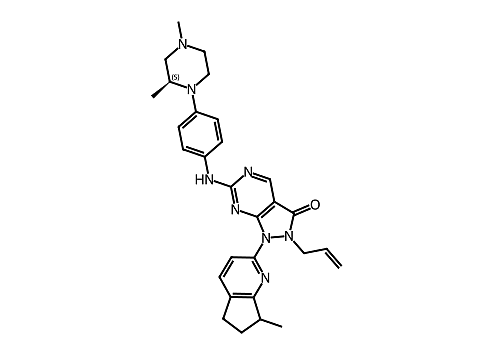 C=CCn1c(=O)c2cnc(Nc3ccc(N4CCN(C)C[C@@H]4C)cc3)nc2n1-c1ccc2c(n1)C(C)CC2